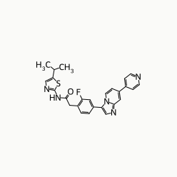 CC(C)c1cnc(NC(=O)Cc2ccc(-c3cnc4cc(-c5ccncc5)ccn34)cc2F)s1